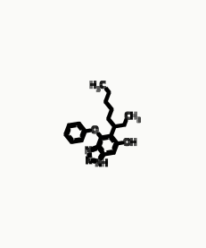 CCCCCC(CC)c1c(O)cc2[nH]nnc2c1Oc1ccccc1